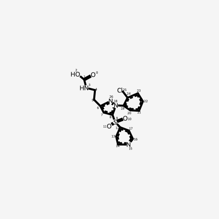 O=C(O)NCCc1cc(S(=O)(=O)c2ccncc2)n(-c2ccccc2Cl)n1